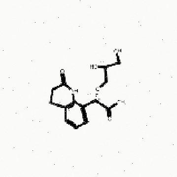 CC(=O)[C@@H](OCC(O)CO)c1cccc2c1NC(=O)CC2